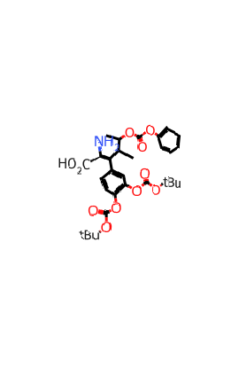 CC(OC(=O)Oc1ccccc1)C(C)C(c1ccc(OC(=O)OC(C)(C)C)c(OC(=O)OC(C)(C)C)c1)[C@H](N)C(=O)O